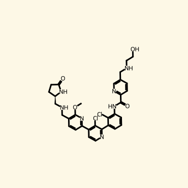 COc1nc(-c2ccnc(-c3cccc(NC(=O)c4ccc(CNCCO)cn4)c3Cl)c2Cl)ccc1CNC[C@H]1CCC(=O)N1